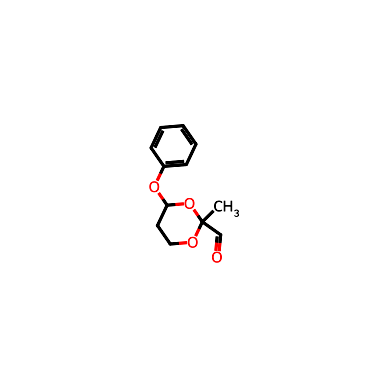 CC1(C=O)OCCC(Oc2ccccc2)O1